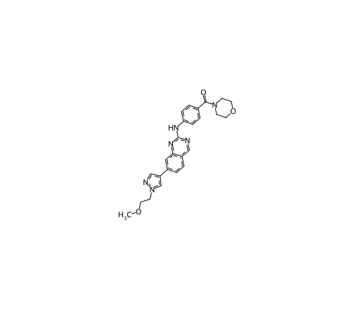 COCCn1cc(-c2ccc3cnc(Nc4ccc(C(=O)N5CCOCC5)cc4)nc3c2)cn1